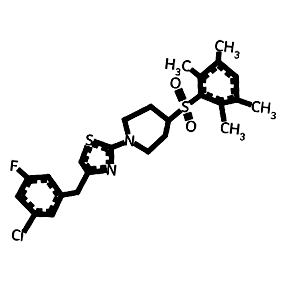 Cc1cc(C)c(C)c(S(=O)(=O)C2CCN(c3nc(Cc4cc(F)cc(Cl)c4)cs3)CC2)c1C